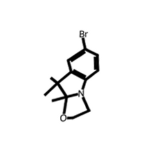 CC1(C)c2cc(Br)ccc2N2CCOC21C